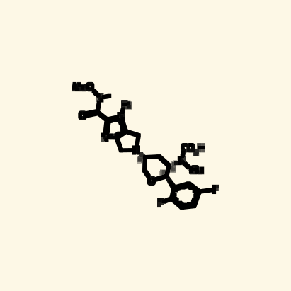 CCn1c(C(=O)N(C)OC)nc2c1CN([C@H]1CO[C@H](c3cc(F)ccc3F)[C@@H](N(C(=O)O)C(C)(C)C)C1)C2